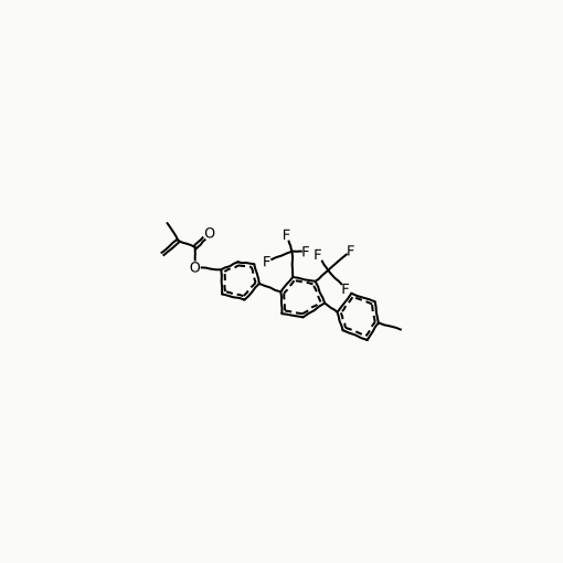 C=C(C)C(=O)Oc1ccc(-c2ccc(-c3ccc(C)cc3)c(C(F)(F)F)c2C(F)(F)F)cc1